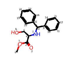 COC(=O)C(CO)NC(c1ccccc1)c1ccccc1